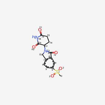 CS(=O)(=O)c1ccc2c(c1)C(=O)N(C1CCC(=O)NC1=O)C2